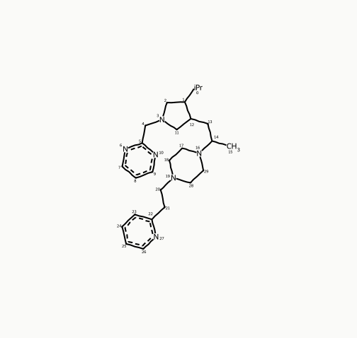 CC(C)C1CN(Cc2ncccn2)CC1CC(C)N1CCN(CCc2ccccn2)CC1